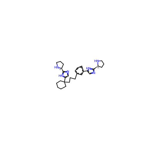 c1cc(CCCC2(c3cnc([C@@H]4CCCN4)[nH]3)CCCCC2)cc(-c2cnc([C@@H]3CCCN3)[nH]2)c1